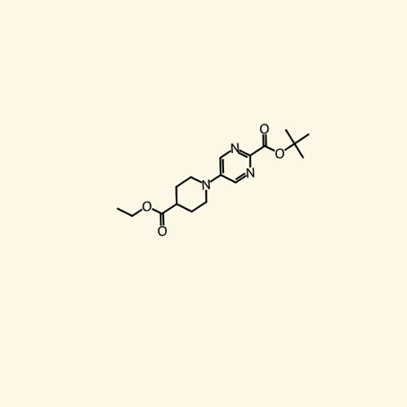 CCOC(=O)C1CCN(c2cnc(C(=O)OC(C)(C)C)nc2)CC1